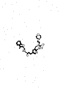 Cc1c(CN(C)C(=O)C=Cc2cnc3c(c2)CN(CCN2CCOCC2)C(=O)N3)oc2ccccc12